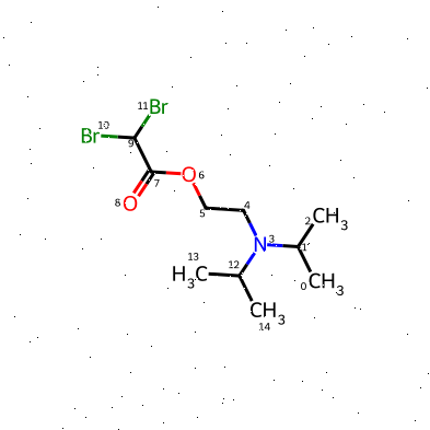 CC(C)N(CCOC(=O)C(Br)Br)C(C)C